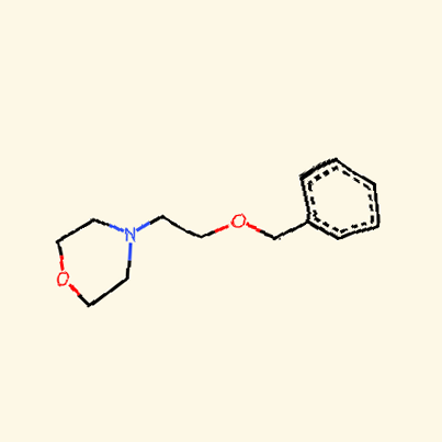 [CH](OCCN1CCOCC1)c1ccccc1